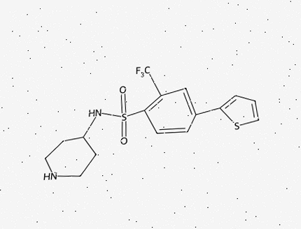 O=S(=O)(NC1CCNCC1)c1ccc(-c2cccs2)cc1C(F)(F)F